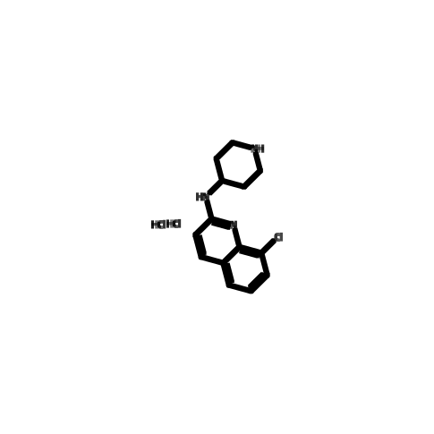 Cl.Cl.Clc1cccc2ccc(NC3CCNCC3)nc12